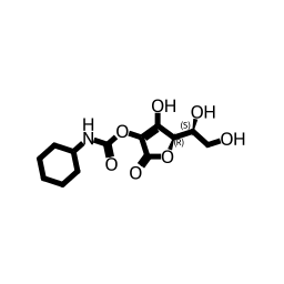 O=C(NC1CCCCC1)OC1=C(O)[C@@H]([C@@H](O)CO)OC1=O